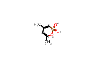 CC1=CS(=O)(=O)OC(C)=C1